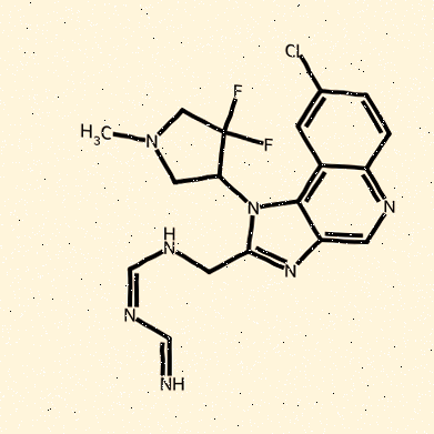 CN1CC(n2c(CN/C=N\C=N)nc3cnc4ccc(Cl)cc4c32)C(F)(F)C1